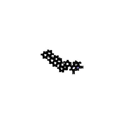 C=C(C)/C(O)=C(O)\C(O)=C(/CO)c1cccc2c1oc1cccc(-c3ccc4ccc5c(-c6cccc7ccccc67)ccc6ccc3c4c65)c12